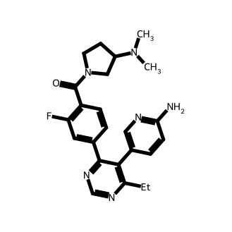 CCc1ncnc(-c2ccc(C(=O)N3CCC(N(C)C)C3)c(F)c2)c1-c1ccc(N)nc1